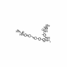 C=CNCCC(=O)Nc1ccc(N2CCC(CCN3CCC(c4ccc(-c5cnc(N)c(C(=N)c6ccc(CNC(=O)c7nc(C(C)(C)C)no7)c(C)c6)c5)cc4)CC3)CC2)cc1